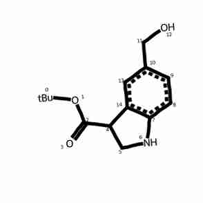 CC(C)(C)OC(=O)C1CNc2ccc(CO)cc21